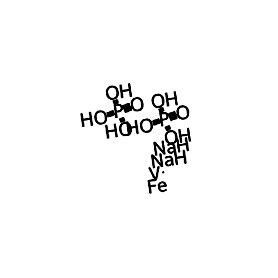 O=P(O)(O)O.O=P(O)(O)O.[Fe].[NaH].[NaH].[V]